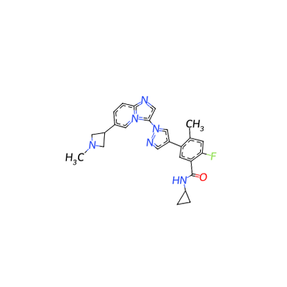 Cc1cc(F)c(C(=O)NC2CC2)cc1-c1cnn(-c2cnc3ccc(C4CN(C)C4)cn23)c1